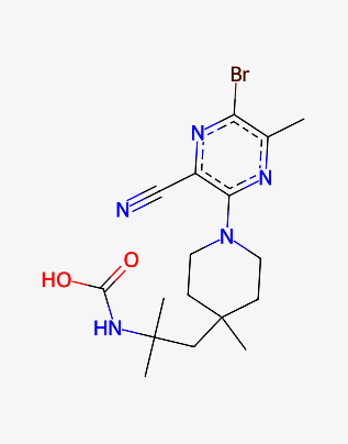 Cc1nc(N2CCC(C)(CC(C)(C)NC(=O)O)CC2)c(C#N)nc1Br